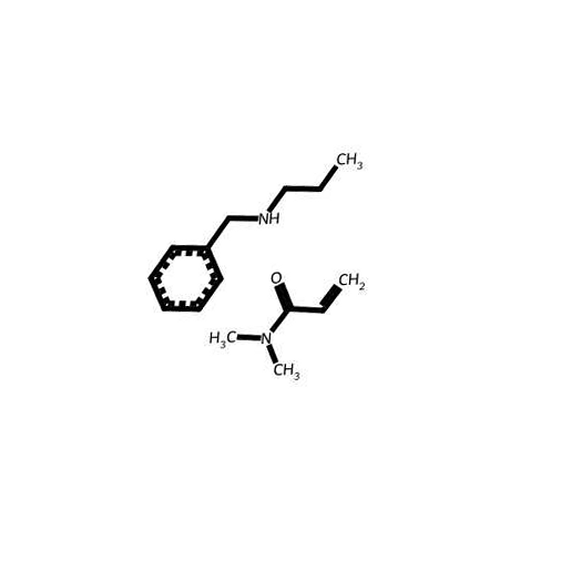 C=CC(=O)N(C)C.CCCNCc1ccccc1